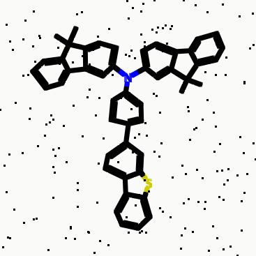 CC1(C)c2ccccc2-c2cc(N(c3ccc(-c4ccc5c(c4)sc4ccccc45)cc3)c3ccc4c(c3)C(C)(C)c3ccccc3-4)ccc21